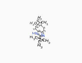 CC(C)C1(C)CCCC2N=C(C(C)(C)C)NC2CC1